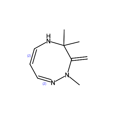 C=C1N(C)/N=C\C=C/NC1(C)C